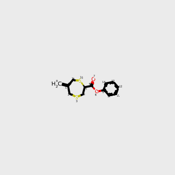 C=C1CSCC(C(=O)Oc2ccccc2)SC1